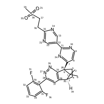 CC1(C)[C@H]2CC[C@@]1(c1ccnc(-c3cnc(CCS(C)(=O)=O)nc3)n1)c1nnc(-c3c(F)cccc3F)cc12